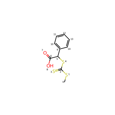 CSC(=S)SC(C(=O)O)c1ccccc1